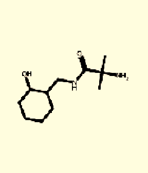 CC(C)(N)C(=O)NCC1CCCCC1O